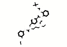 CCOc1cccc(NC(=O)N(CCCN(CC)CC)Cc2ccc(C(=O)Nc3ccccc3NC(=O)OC(C)(C)C)nc2)c1